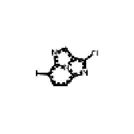 Clc1nc2ccc(I)c3ncc1n23